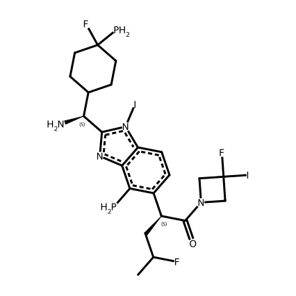 CC(F)C[C@H](C(=O)N1CC(F)(I)C1)c1ccc2c(nc([C@@H](N)C3CCC(F)(P)CC3)n2I)c1P